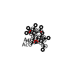 CC(=O)OCC(O)OC(COC1OC(COC(=O)c2ccccc2)C(OC(=O)c2ccccc2)C(OC(=O)c2ccccc2)C1OC(=O)c1ccccc1)C(COC1OC(COC(=O)c2ccccc2)C(OC(=O)c2ccccc2)C(OC(=O)c2ccccc2)C1OC(=O)c1ccccc1)OC(C)=O